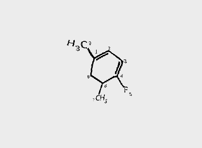 CC1=CC=C(F)C(C)C1